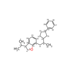 CC(C)C1COc2c(CC(C)C3CCC(c4ccccc4)C3)cccc21